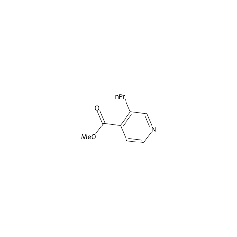 CCCc1cnccc1C(=O)OC